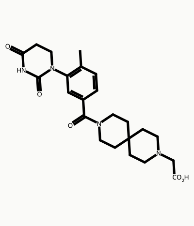 Cc1ccc(C(=O)N2CCC3(CCN(CC(=O)O)CC3)CC2)cc1N1CCC(=O)NC1=O